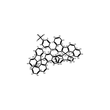 CC(C)(C)c1ccc(N(c2cc3c(c4ccccc24)-c2ccc4ccccc4c2C32c3ccccc3-c3ccccc32)c2cc3c(c4ccccc24)-c2ccc4ccccc4c2C32c3ccccc3-c3ccccc32)cc1